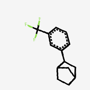 FC(F)(F)c1cccc(C2CC3CCC2C3)c1